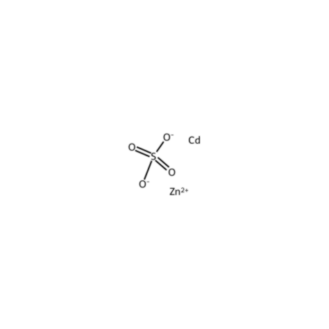 O=S(=O)([O-])[O-].[Cd].[Zn+2]